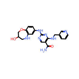 NC(=O)c1cnc(Nc2ccc3c(c2)NCC(O)CO3)nc1NCc1cccnc1